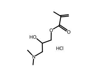 C=C(C)C(=O)OCC(O)CN(C)C.Cl